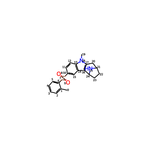 Cc1ccccc1S(=O)(=O)c1ccc2c(c1)c1c(n2C)CC2CCC1N2